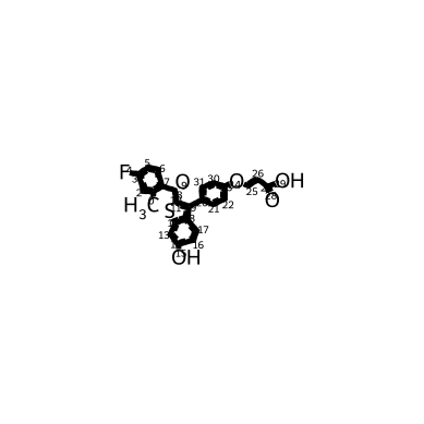 Cc1cc(F)ccc1C(=O)c1sc2cc(O)ccc2c1-c1ccc(O/C=C/C(=O)O)cc1